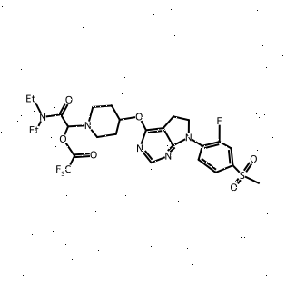 CCN(CC)C(=O)C(OC(=O)C(F)(F)F)N1CCC(Oc2ncnc3c2CCN3c2ccc(S(C)(=O)=O)cc2F)CC1